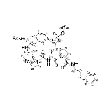 CC(=O)N[C@@H](Cc1ccc(O)cc1)C(=O)N[C@@H](CC(C)C)C(=O)N1CCC[C@H]1C(=O)N[C@@H](CCCNC(=O)OC(C)(C)C)C(=O)N1CCC[C@H]1C(=O)NCCCc1ccccc1